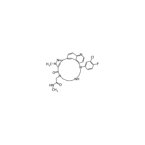 CNC(=O)CN1CCCNCCN(c2ccc(F)c(Cl)c2)c2ccnc3ccc(cc23)-c2cc(n(C)n2)C1=O